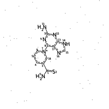 NC(=S)c1ccc[n+](-c2nc(N)nc3[nH]cnc23)c1